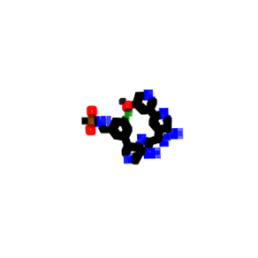 COc1cncc(-c2cc3c(-c4nc5c(-c6cc(F)cc(CNS(C)(=O)=O)c6)cncc5[nH]4)n[nH]c3cn2)c1